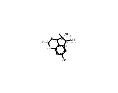 C[C@@H]1CC2c3c(cc(Br)cc3C(N)[C@]2(N)I)O1